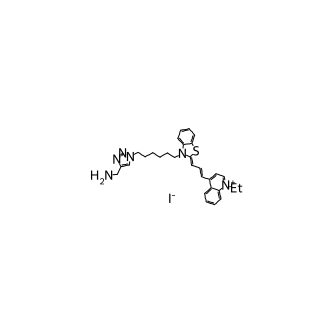 CC[n+]1ccc(/C=C/C=C2\Sc3ccccc3N2CCCCCCn2cc(CN)nn2)c2ccccc21.[I-]